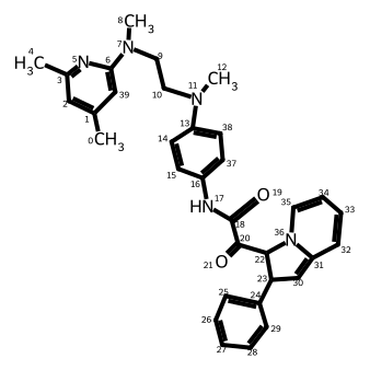 Cc1cc(C)nc(N(C)CCN(C)c2ccc(NC(=O)C(=O)C3C(c4ccccc4)C=C4C=CC=CN43)cc2)c1